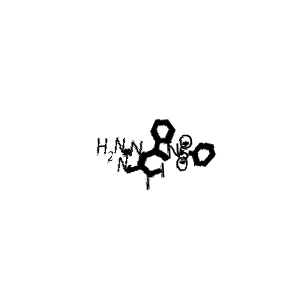 Nc1ncc(C(I)I)c(-c2cn(S(=O)(=O)c3ccccc3)c3ccccc23)n1